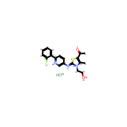 CC(=O)c1s/c(=N\c2ccc(-c3ccccc3F)nc2)n(CCO)c1C.Cl